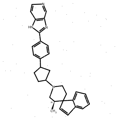 C[C@H]1CN(C2CCC(c3ccc(-c4nc5cnccc5[nH]4)cc3)C2)CCC12C=Cc1ccccc12